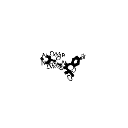 COc1ncnc(OC)c1C(=O)Nc1nc2c(s1)C1(COC1)Oc1cc(Br)ccc1-2